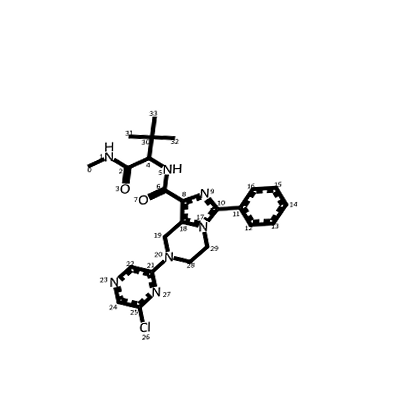 CNC(=O)C(NC(=O)c1nc(-c2ccccc2)n2c1CN(c1cncc(Cl)n1)CC2)C(C)(C)C